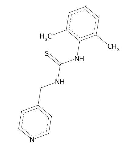 Cc1cccc(C)c1NC(=S)NCc1ccncc1